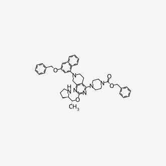 C[C@@H](Oc1nc2c(c(N3CCN(C(=O)OCc4ccccc4)CC3)n1)CCN(c1cc(OCc3ccccc3)cc3ccccc13)C2)[C@H]1CCCN1